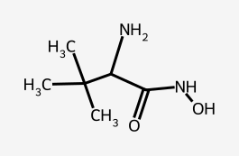 CC(C)(C)C(N)C(=O)NO